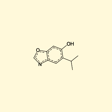 CC(C)c1cc2ncoc2cc1O